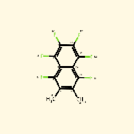 Cc1c(C)c(F)c2c(F)c(F)c(F)c(F)c2c1F